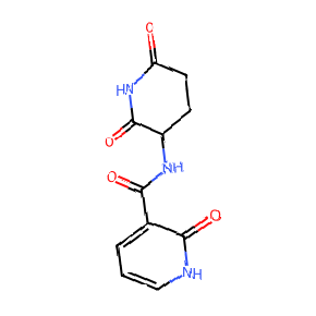 O=C1CCC(NC(=O)c2ccc[nH]c2=O)C(=O)N1